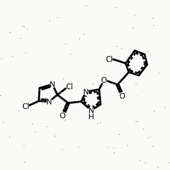 O=C(Oc1c[nH]c(C(=O)C2(Cl)N=CC(Cl)=N2)n1)c1ccccc1Cl